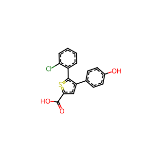 O=C(O)c1cc(-c2ccc(O)cc2)c(-c2ccccc2Cl)s1